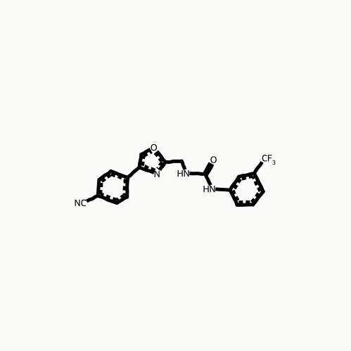 N#Cc1ccc(-c2coc(CNC(=O)Nc3cccc(C(F)(F)F)c3)n2)cc1